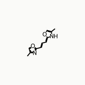 CC1=CO/C(=C\C=C\c2nc(C)co2)N1